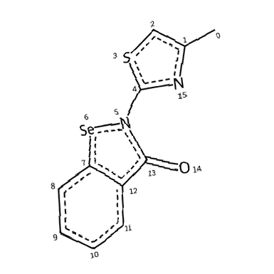 Cc1csc(-n2[se]c3ccccc3c2=O)n1